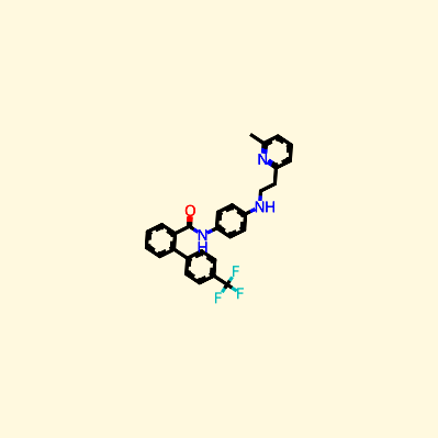 Cc1cccc(CCNc2ccc(NC(=O)c3ccccc3-c3ccc(C(F)(F)F)cc3)cc2)n1